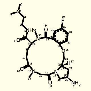 CN(C)CCNC(=O)[C@@H]1CCC(=O)N(C)CC(=O)N2C[C@H](N)C[C@H]2COc2ccc(F)cc2C(=O)N1C